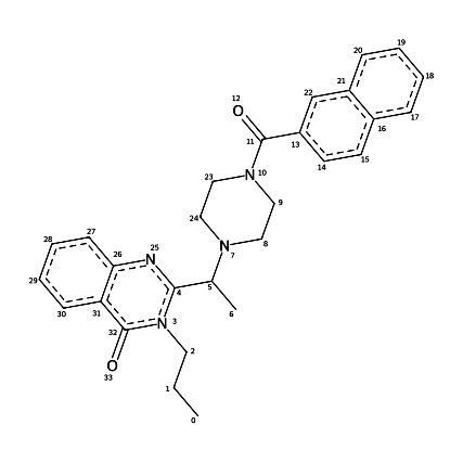 CCCn1c(C(C)N2CCN(C(=O)c3ccc4ccccc4c3)CC2)nc2ccccc2c1=O